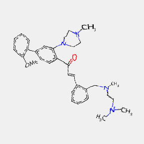 COc1ccccc1-c1ccc(C(=O)/C=C/c2ccccc2CN(C)CCN(C)C)c(N2CCN(C)CC2)c1